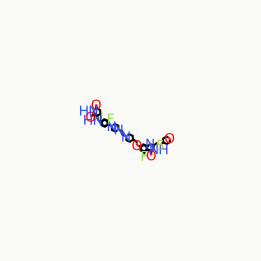 O=C1CC[C@H](Nc2ccc(N3CCN(CCN4CCC(COc5cc(F)c6c(=O)[nH]c(CSC7CCOCC7)nc6c5)CC4)CC3)c(F)c2)C(=O)N1